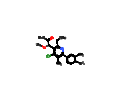 COC(=O)[C@@H](OC(C)(C)C)c1c(COC(C)=O)nc(-c2ccc(C)c(C)c2)c(C)c1Cl